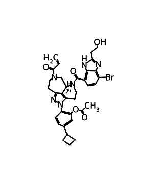 C=CC(=O)N1CCc2nn(-c3ccc(C4CCC4)cc3OC(C)=O)c3c2[C@H](C1)N(C(=O)c1ccc(Br)c2nc(CCO)[nH]c12)CC3